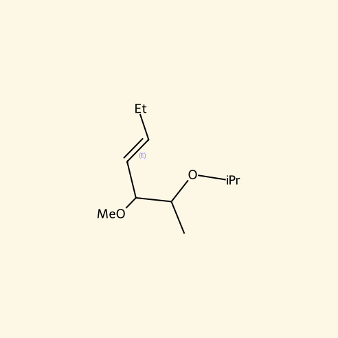 [CH2]C/C=C/C(OC)C(C)OC(C)C